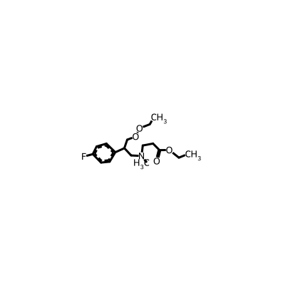 CCOOCC(CN(C)CCC(=O)OCC)c1ccc(F)cc1